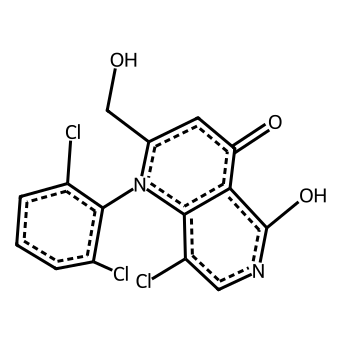 O=c1cc(CO)n(-c2c(Cl)cccc2Cl)c2c(Cl)cnc(O)c12